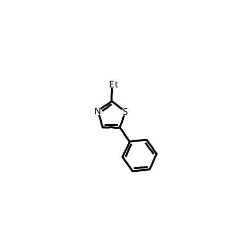 CCc1ncc(-c2ccccc2)s1